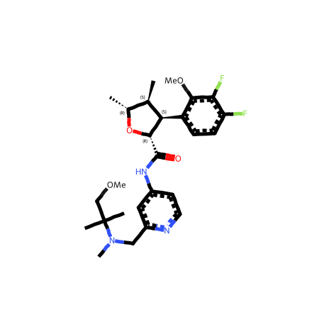 COCC(C)(C)N(C)Cc1cc(NC(=O)[C@@H]2O[C@H](C)[C@@H](C)[C@H]2c2ccc(F)c(F)c2OC)ccn1